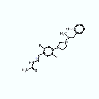 CN(Cc1ccccc1Cl)[C@H]1CCN(c2cc(F)c(/C=N/NC(N)=S)cc2F)C1